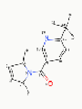 CC1C=CC(C)N1C(=O)c1ccc(C(C)(C)C)nc1